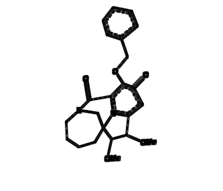 COC1c2cc(=O)c(OCc3ccccc3)c3n2C2(CCCCN(C2)C3=O)C1OC